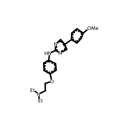 CCN(CC)CCOc1ccc(Nc2ncc(-c3ccc(OC)cc3)cn2)cc1